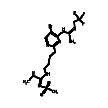 CN/C(=N/S(C)(=O)=O)NCCCSc1ncc(Br)c(N/C(N)=N\CC(F)(F)F)n1